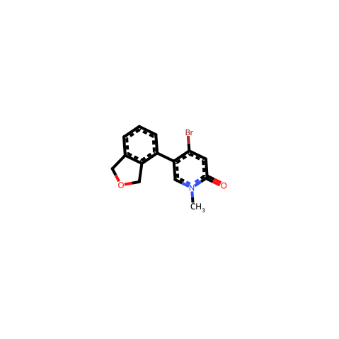 Cn1cc(-c2cccc3c2COC3)c(Br)cc1=O